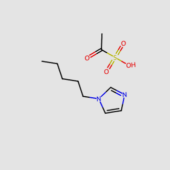 CC(=O)S(=O)(=O)O.CCCCCn1ccnc1